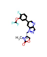 CN1C(=O)OC[C@H]1Cn1ncc2ncc(-c3ccc(F)c(OC(F)F)c3)cc21